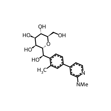 CNc1cc(-c2ccc([C@@H](O)[C@H]3O[C@H](CO)[C@@H](O)[C@H](O)[C@@H]3O)c(C)c2)ccn1